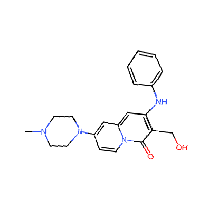 CN1CCN(c2ccn3c(=O)c(CO)c(Nc4ccccc4)cc3c2)CC1